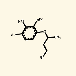 CCCc1c(OC(C)CCBr)ccc(C(C)=O)c1O